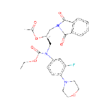 CCOC(=O)N(C[C@H](CN1C(=O)c2ccccc2C1=O)OC(C)=O)c1ccc(N2CCOCC2)c(F)c1